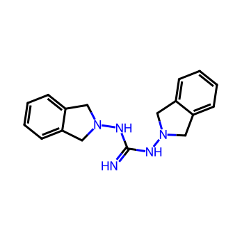 N=C(NN1Cc2ccccc2C1)NN1Cc2ccccc2C1